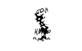 CCCN(CC(N)=O)C(=O)C1=Cc2ccc(-c3ccc(CC(=O)O)cc3)cc2N=C(N)C1